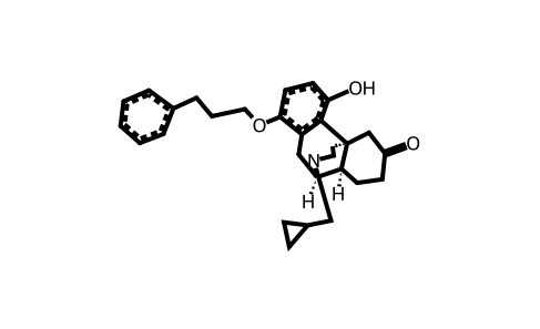 O=C1CC[C@H]2[C@H]3Cc4c(OCCCc5ccccc5)ccc(O)c4[C@@]2(CCN3CC2CC2)C1